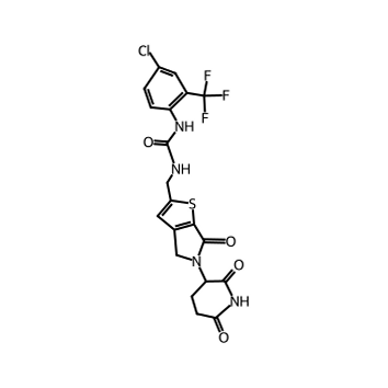 O=C1CCC(N2Cc3cc(CNC(=O)Nc4ccc(Cl)cc4C(F)(F)F)sc3C2=O)C(=O)N1